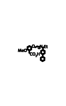 CCC(=NOCCOc1ccc(OC)c(CC(=O)O)c1)c1ccc(-c2ccccc2)cc1